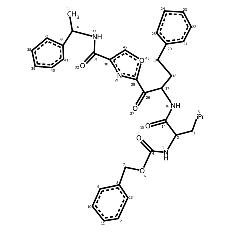 CC(C)CC(NC(=O)OCc1ccccc1)C(=O)NC(CCc1ccccc1)C(=O)c1nc(C(=O)NC(C)c2ccccc2)co1